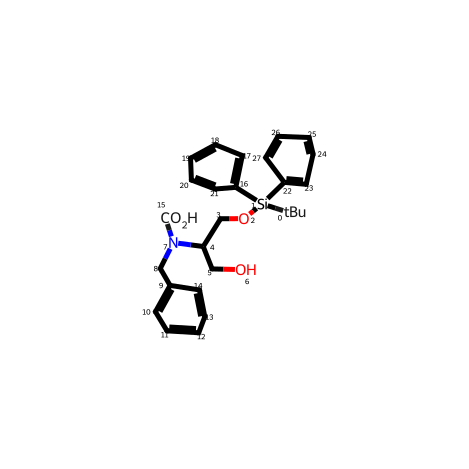 CC(C)(C)[Si](OCC(CO)N([CH]c1ccccc1)C(=O)O)(c1ccccc1)c1ccccc1